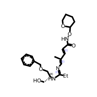 CC\C(=N/C=C(C)/C=C/C(=O)NOC1CCCCO1)N[C@H](CO)COCc1ccccc1